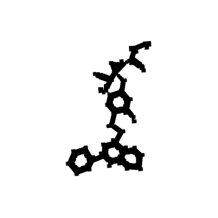 CC(=O)[C@@]1(Cc2ccc(OCc3cc(-c4ccccc4)nc4ccccc34)c(F)c2)C[C@@H]1C(=O)NO